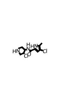 Cc1[nH]c(C(=O)NC2CCNCC2Cl)cc1Cl